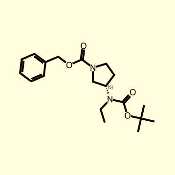 CCN(C(=O)OC(C)(C)C)[C@H]1CCN(C(=O)OCc2ccccc2)C1